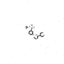 C[C@H]1C[C@@H]1n1cnnc1-c1cccc(N2C=CC=C(c3ccncc3)C2)c1